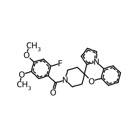 COc1cc(F)c(C(=O)N2CCC3(CC2)Oc2ccccc2-n2cccc23)cc1OC